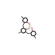 Cc1ccc2c(c1)Cc1cc(C)cc3c1OP(O2)Oc1ccc(C)cc1C3